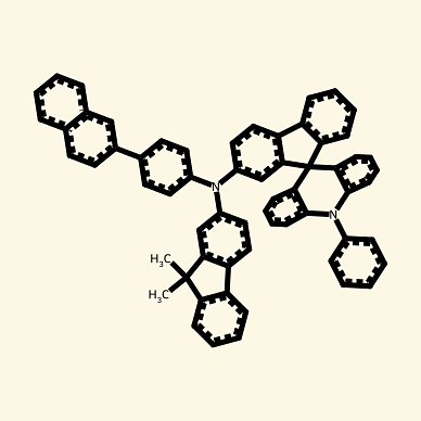 CC1(C)c2ccccc2-c2ccc(N(c3ccc(-c4ccc5ccccc5c4)cc3)c3ccc4c(c3)C3(c5ccccc5-4)c4ccccc4N(c4ccccc4)c4ccccc43)cc21